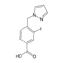 O=C(O)c1ccc(Cn2cccn2)c(I)c1